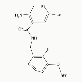 CCCOc1cccc(CNC(=O)C(/C=C(/F)CC)=C(/C)N)c1F